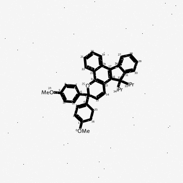 COC1=CC=C(C2(c3ccc(OC)cc3)C=Cc3c4c(c5ccccc5c3O2)-c2ccccc2C4(C(C)C)C(C)C)CC1